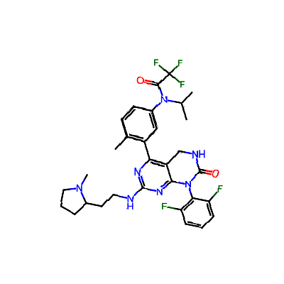 Cc1ccc(N(C(=O)C(F)(F)F)C(C)C)cc1-c1nc(NCCC2CCCN2C)nc2c1CNC(=O)N2c1c(F)cccc1F